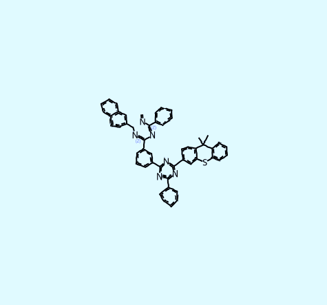 C=N/C(=N\C(=N/Cc1ccc2ccccc2c1)c1cccc(-c2nc(-c3ccccc3)nc(-c3ccc4c(c3)Sc3ccccc3C4(C)C)n2)c1)c1ccccc1